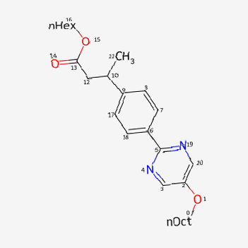 CCCCCCCCOc1cnc(-c2ccc(C(C)CC(=O)OCCCCCC)cc2)nc1